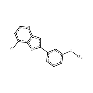 FC(F)(F)Oc1cccc(-c2cc3nccc(Cl)c3o2)c1